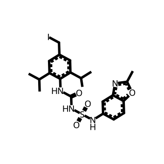 Cc1nc2cc(NS(=O)(=O)NC(=O)Nc3c(C(C)C)cc(CI)cc3C(C)C)ccc2o1